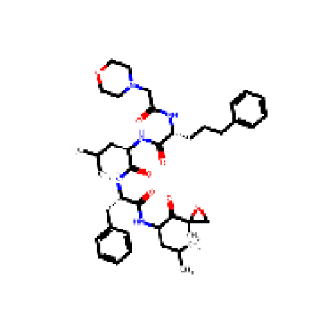 CC(C)C[C@@H](NC(=O)[C@@H](CCCc1ccccc1)NC(=O)CN1CCOCC1)C(=O)N[C@@H](Cc1ccccc1)C(=O)N[C@H](CC(C)C)C(=O)[C@@]1(C)CO1